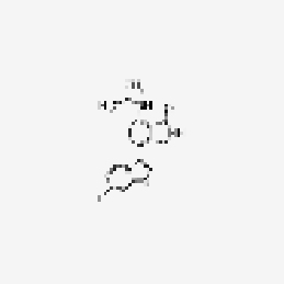 CC(C)Nc1ccc(-c2cnc3cc(F)ccn23)c2c1C(=O)NC2